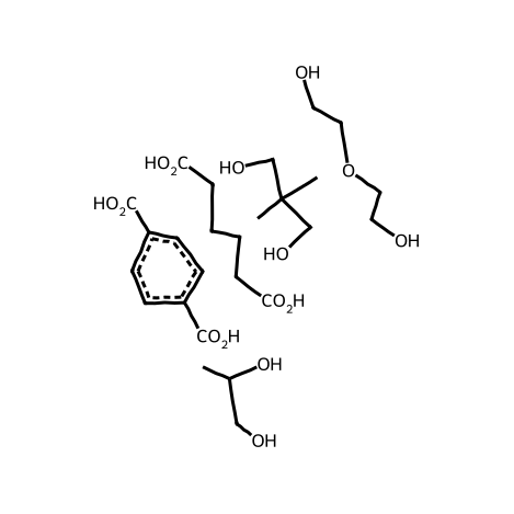 CC(C)(CO)CO.CC(O)CO.O=C(O)CCCCC(=O)O.O=C(O)c1ccc(C(=O)O)cc1.OCCOCCO